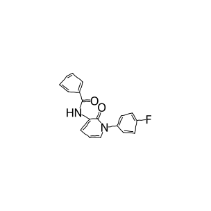 O=C(Nc1cccn(-c2ccc(F)cc2)c1=O)c1ccccc1